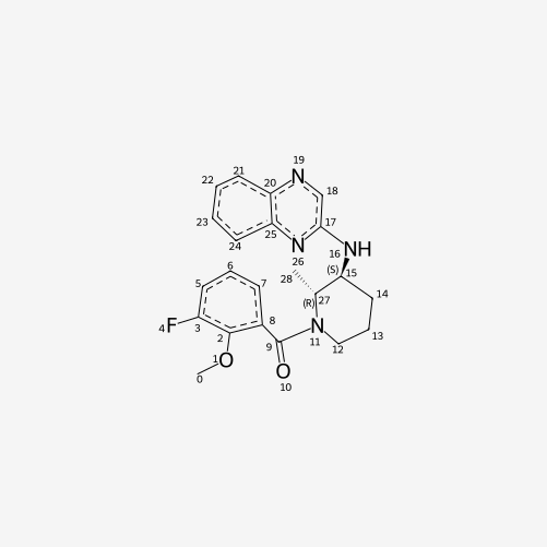 COc1c(F)cccc1C(=O)N1CCC[C@H](Nc2cnc3ccccc3n2)[C@H]1C